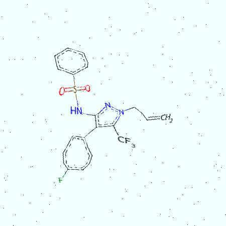 C=CCn1nc(NS(=O)(=O)c2ccccc2)c(-c2ccc(F)cc2)c1C(F)(F)F